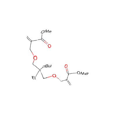 C=C(COCC(CC)(CCCC)COCC(=C)C(=O)OC)C(=O)OC